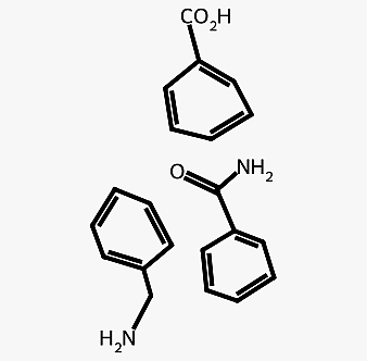 NC(=O)c1ccccc1.NCc1ccccc1.O=C(O)c1ccccc1